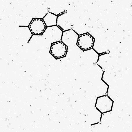 COC1CCN(CCONC(=O)c2ccc(N/C(=C3\C(=O)Nc4cc(C)c(C)cc43)c3ccccc3)cc2)CC1